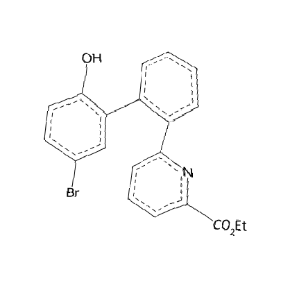 CCOC(=O)c1cccc(-c2ccccc2-c2cc(Br)ccc2O)n1